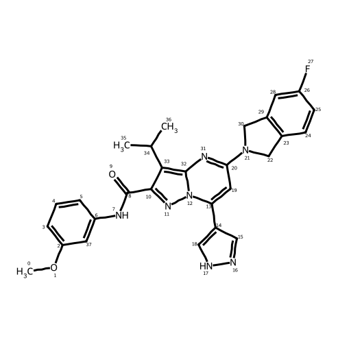 COc1cccc(NC(=O)c2nn3c(-c4cn[nH]c4)cc(N4Cc5ccc(F)cc5C4)nc3c2C(C)C)c1